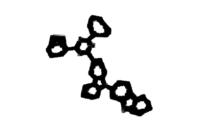 c1ccc(-c2nc(-c3ccccc3)nc(-c3ccc4c(c3)c3ccccc3n4-c3ccc4c(c3)oc3ccccc34)n2)cc1